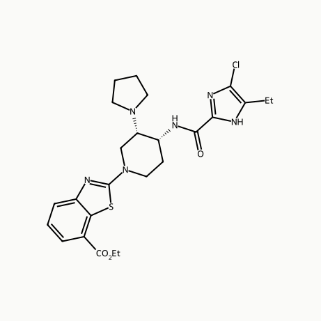 CCOC(=O)c1cccc2nc(N3CC[C@@H](NC(=O)c4nc(Cl)c(CC)[nH]4)[C@@H](N4CCCC4)C3)sc12